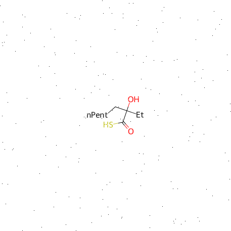 CCCCCCC(O)(CC)C(=O)S